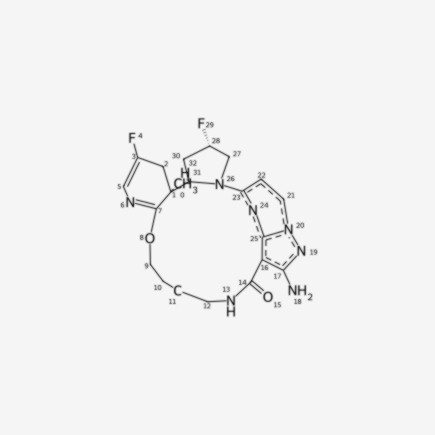 CC12CC(F)=CN=C1OCCCCNC(=O)c1c(N)nn3ccc(nc13)N1C[C@@H](F)C[C@@H]12